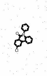 O=c1c2ccc(Cl)cc2c2ccccc2n1-c1ccccc1